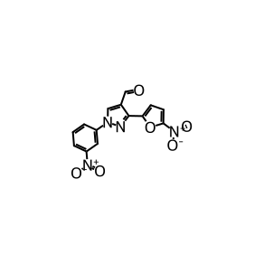 O=Cc1cn(-c2cccc([N+](=O)[O-])c2)nc1-c1ccc([N+](=O)[O-])o1